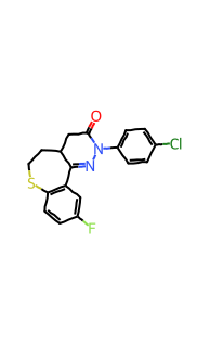 O=C1CC2CCSc3ccc(F)cc3C2=NN1c1ccc(Cl)cc1